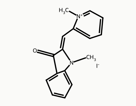 CN1C(=Cc2cccc[n+]2C)C(=O)c2ccccc21.[I-]